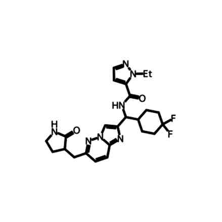 CCn1nccc1C(=O)NC(c1cn2nc(CC3CCNC3=O)ccc2n1)C1CCC(F)(F)CC1